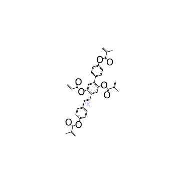 C=CC(=O)Oc1cc(-c2ccc(OC(=O)C(=C)C)cc2)c(OC(=O)C(=C)C)cc1/C=C/c1ccc(OC(=O)C(=C)C)cc1